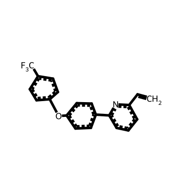 C=Cc1cccc(-c2ccc(Oc3ccc(C(F)(F)F)cc3)cc2)n1